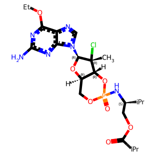 CCOc1nc(N)nc2c1ncn2[C@@H]1O[C@@H]2COP(=O)(N[C@H](COC(=O)C(C)C)C(C)C)O[C@H]2[C@@]1(C)Cl